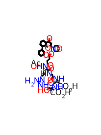 CC(=O)[O-].NC(N)=NCCC[C@H](NC(=O)CCC(=O)OC[N+]1(c2cc(=O)c3cccc(-c4ccccc4)c3o2)CCOCC1)C(=O)NCC(=O)N[C@@H](CC(=O)O)C(=O)N[C@@H](CO)C(=O)O